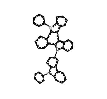 c1ccc(-n2c3ccccc3c3cc(-n4c5ccccc5c5c6c7ccccc7n(-c7ccccc7)c6c6ccccc6c54)ccc32)cc1